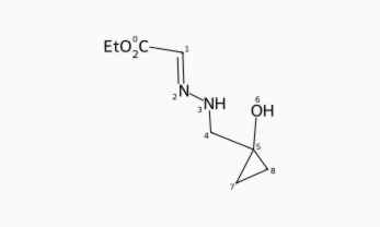 CCOC(=O)/C=N/NCC1(O)CC1